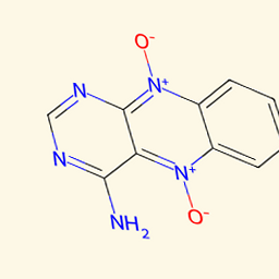 Nc1ncnc2c1[n+]([O-])c1ccccc1[n+]2[O-]